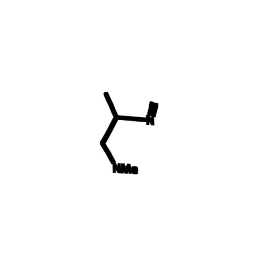 C=NC(C)CNC